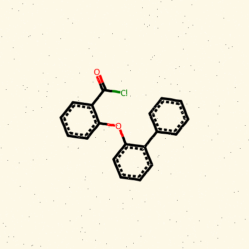 O=C(Cl)c1ccccc1Oc1ccccc1-c1ccccc1